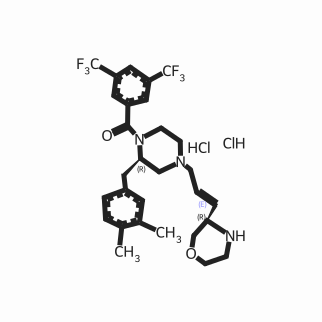 Cc1ccc(C[C@@H]2CN(C/C=C/[C@@H]3COCCN3)CCN2C(=O)c2cc(C(F)(F)F)cc(C(F)(F)F)c2)cc1C.Cl.Cl